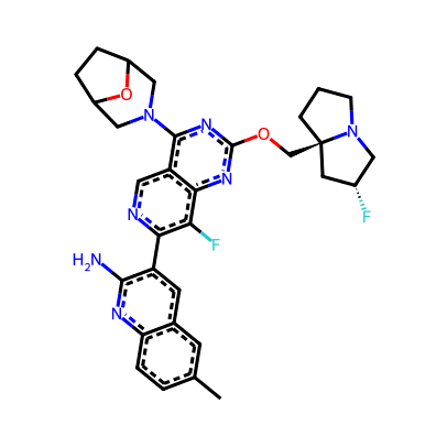 Cc1ccc2nc(N)c(-c3ncc4c(N5CC6CCC(C5)O6)nc(OC[C@@]56CCCN5C[C@H](F)C6)nc4c3F)cc2c1